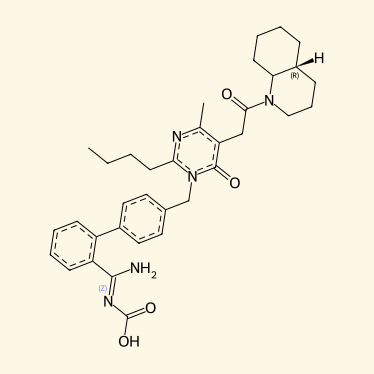 CCCCc1nc(C)c(CC(=O)N2CCC[C@H]3CCCCC32)c(=O)n1Cc1ccc(-c2ccccc2/C(N)=N/C(=O)O)cc1